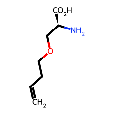 C=CCCOC[C@H](N)C(=O)O